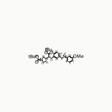 COc1cccc(N(C)Cc2cccc(C[C@H](C(=O)OC(C)(C)C)[C@H]3CCN(C(=O)OC(C)(C)C)C3)c2)c1